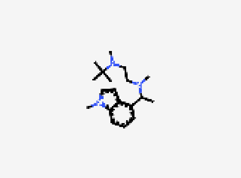 CC(c1cccc2c1ccn2C)N(C)CCN(C)C(C)(C)C